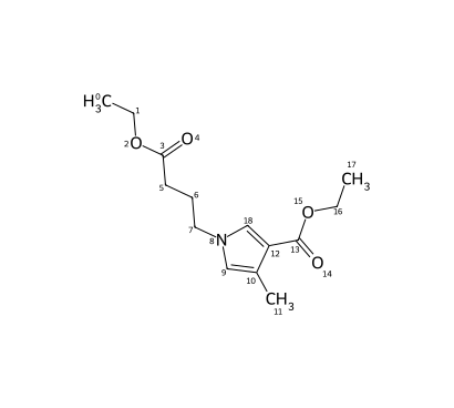 CCOC(=O)CCCn1cc(C)c(C(=O)OCC)c1